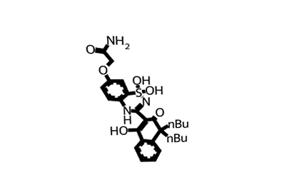 CCCCC1(CCCC)C(=O)C(C2=NS(O)(O)c3cc(OCC(N)=O)ccc3N2)=C(O)c2ccccc21